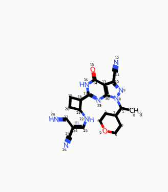 CC(C1CCOCC1)n1nc(C#N)c2c(=O)[nH]c(C3CCC3N/C=C(/C#N)C=N)nc21